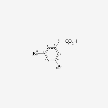 CC(C)(C)c1cc(CC(=O)O)cc(Br)n1